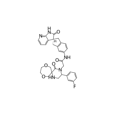 O=C(CN1C(=O)C2(COCCOC2)NCC1c1cccc(F)c1)Nc1ccc2c(c1)C[C@@]1(C2)C(=O)Nc2ncccc21